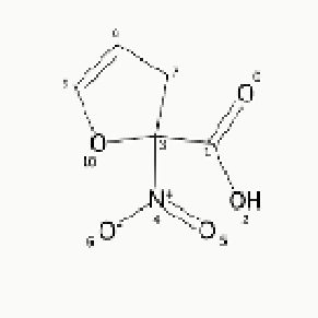 O=C(O)C1([N+](=O)[O-])CC=CO1